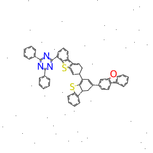 C1=C(c2ccc3c(c2)oc2ccccc23)CC2C(=C1C1C=c3sc4c(-c5nc(-c6ccccc6)nc(-c6ccccc6)n5)cccc4c3=CC1)Sc1ccccc12